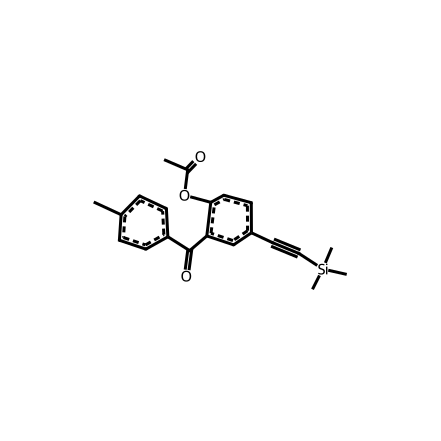 CC(=O)Oc1ccc(C#C[Si](C)(C)C)cc1C(=O)c1ccc(C)cc1